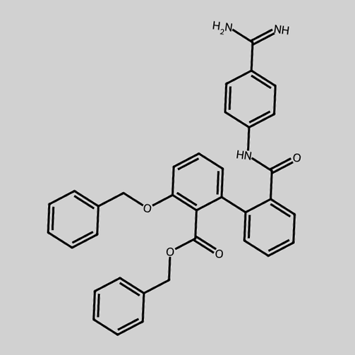 N=C(N)c1ccc(NC(=O)c2ccccc2-c2cccc(OCc3ccccc3)c2C(=O)OCc2ccccc2)cc1